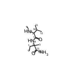 CCC(C)(NC(=O)C(NC)C(C)C)C(N)=O